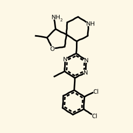 Cc1nc(C2CNCCC23COC(C)C3N)nnc1-c1cccc(Cl)c1Cl